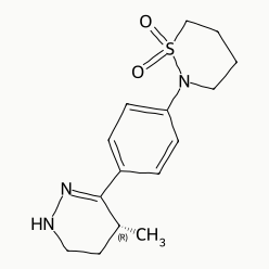 C[C@@H]1CCNN=C1c1ccc(N2CCCCS2(=O)=O)cc1